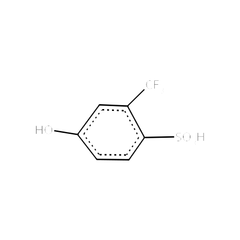 O=S(=O)(O)c1ccc(O)cc1C(F)(F)F